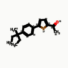 CCC(C)(CC)c1ccc(-c2ccc(C(C)=O)s2)cc1